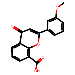 COc1cccc(-c2cc(=O)c3cccc(C(=O)O)c3o2)c1